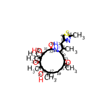 C/C(=C\c1csc(C)n1)C1CC2O[C@]2(C)CCC[C@H](C)[C@H](O)[C@@H](C)C(=O)C(C)(C)[C@@H](O)CC(=O)N1